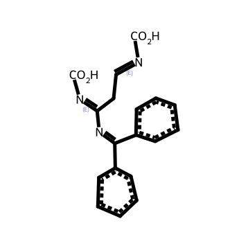 O=C(O)/N=C/C/C(N=C(c1ccccc1)c1ccccc1)=N\C(=O)O